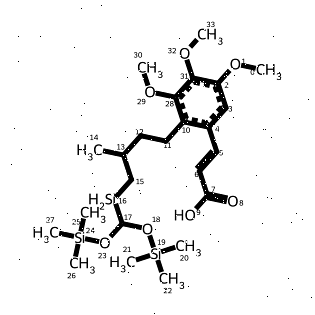 COc1cc(/C=C/C(=O)O)c(CCC(C)C[SiH2]C(O[Si](C)(C)C)O[Si](C)(C)C)c(OC)c1OC